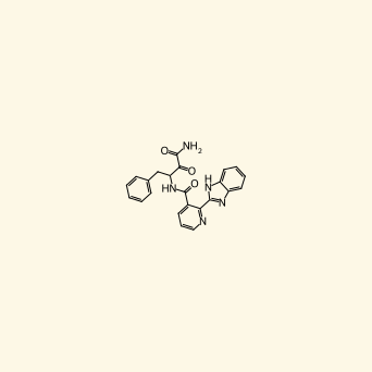 NC(=O)C(=O)C(Cc1ccccc1)NC(=O)c1cccnc1-c1nc2ccccc2[nH]1